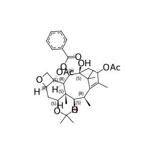 CC(=O)OC1C[C@@]2(O)[C@@H](OC(=O)c3ccccc3)[C@@H]3[C@]4(OC(C)=O)CO[C@@H]4C[C@@H]4OC(C)(C)O[C@@H]([C@H](C)C(=C1C)C2(C)C)[C@]43C